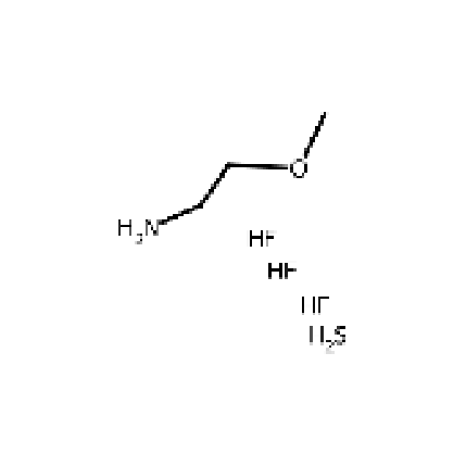 COCCN.F.F.F.S